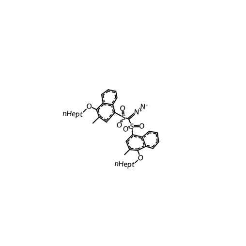 CCCCCCCOc1c(C)cc(S(=O)(=O)C(=[N+]=[N-])S(=O)(=O)c2cc(C)c(OCCCCCCC)c3ccccc23)c2ccccc12